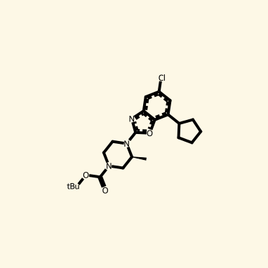 C[C@H]1CN(C(=O)OC(C)(C)C)CCN1c1nc2cc(Cl)cc(C3CCCC3)c2o1